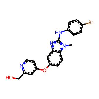 Cn1c(Nc2ccc(Br)cc2)nc2cc(Oc3ccnc(CO)c3)ccc21